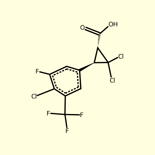 O=C(O)[C@H]1[C@H](c2cc(F)c(Cl)c(C(F)(F)F)c2)C1(Cl)Cl